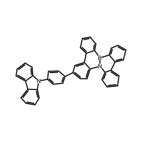 c1ccc2c(c1)B1c3ccccc3-c3cc(-c4ccc(-n5c6ccccc6c6ccccc65)cc4)ccc3N1c1ccccc1-2